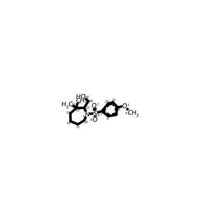 COc1ccc(S(=O)(=O)N2CCCCC(C)(C)C2CO)cc1